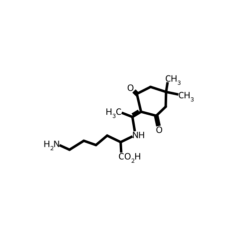 CC(NC(CCCCN)C(=O)O)=C1C(=O)CC(C)(C)CC1=O